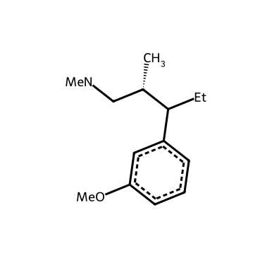 CCC(c1cccc(OC)c1)[C@@H](C)CNC